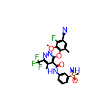 COc1c(F)c(C#N)cc(C)c1Oc1nnc(C(F)(F)F)c(C)c1C(=O)Nc1cccc(S(C)(=N)=O)c1